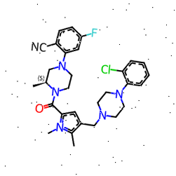 Cc1c(CN2CCN(c3ccccc3Cl)CC2)cc(C(=O)N2CCN(c3cc(F)ccc3C#N)C[C@@H]2C)n1C